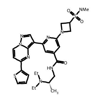 CCN(CC)[C@@H](C)CNC(=O)c1cc(-c2cnn3ccc(-c4cccs4)nc23)nc(N2CC(S(=O)(=O)NC)C2)c1